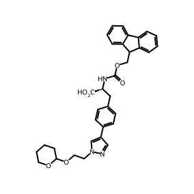 O=C(N[C@@H](Cc1ccc(-c2cnn(CCOC3CCCCO3)c2)cc1)C(=O)O)OCC1c2ccccc2-c2ccccc21